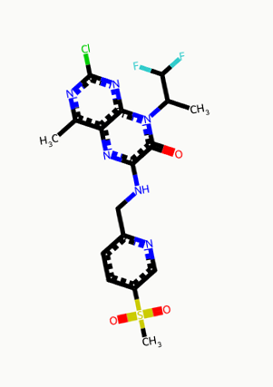 Cc1nc(Cl)nc2c1nc(NCc1ccc(S(C)(=O)=O)cn1)c(=O)n2C(C)C(F)F